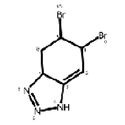 BrC1C=C2NN=NC2CC1Br